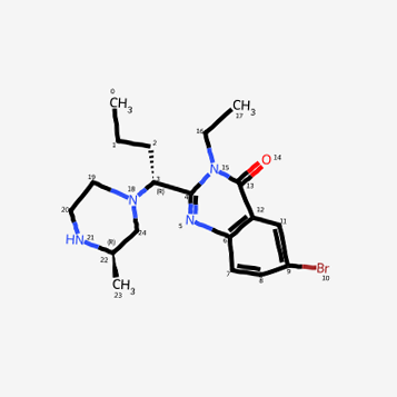 CCC[C@H](c1nc2ccc(Br)cc2c(=O)n1CC)N1CCN[C@H](C)C1